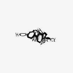 CC[C@]12CC[C@H]3[C@@H](CCC4=C[C@@H](O)CC[C@@H]43)[C@@H]1C=C[C@@]2(O)C#CCl